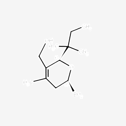 B[C@H]1CC(C)=C(CO)[C@@H](C(C)(C)CC)O1